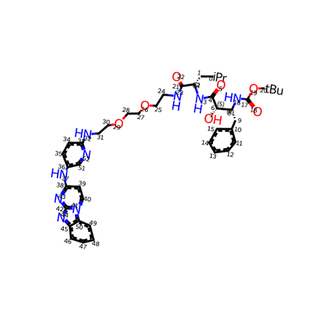 CC(C)C[C@H](NC(=O)[C@@H](O)[C@@H](Cc1ccccc1)NC(=O)OC(C)(C)C)C(=O)NCCOCCOCCNc1ccc(Nc2ccn3c(n2)nc2ccccc23)cn1